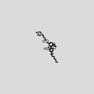 CCCCCCC(C)(C)c1cc(O)c2c(c1)OC(C)(C)[C@H]1CC=C(COC(=O)CCCN3CCN(C)CC3)C[C@H]21